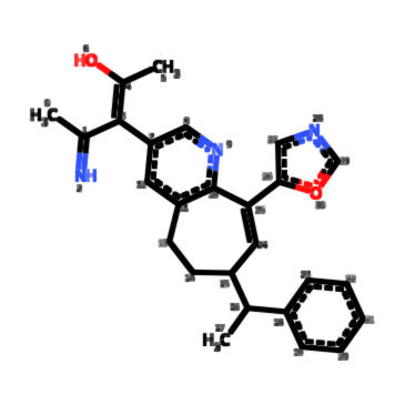 CC(=N)/C(=C(/C)O)c1cnc2c(c1)CCC(C(C)c1ccccc1)C=C2c1cnco1